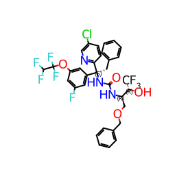 O=C(N[C@H](COCc1ccccc1)[C@@H](O)C(F)(F)F)N[C@@](Cc1ccccc1)(c1cc(F)cc(OC(F)(F)C(F)F)c1)c1ccc(Cl)cn1